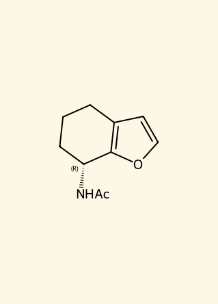 CC(=O)N[C@@H]1CCCc2ccoc21